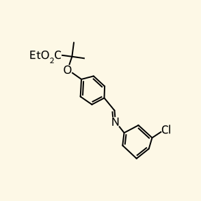 CCOC(=O)C(C)(C)Oc1ccc(C=Nc2cccc(Cl)c2)cc1